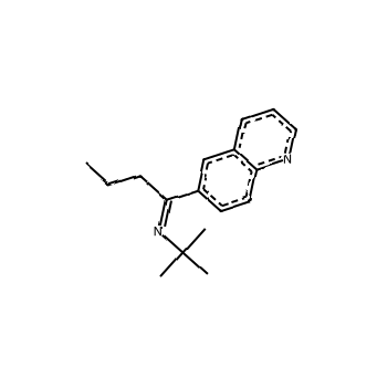 CCC/C(=N/C(C)(C)C)c1ccc2ncccc2c1